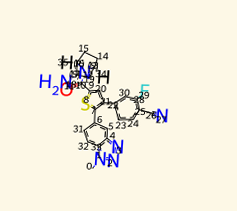 Cn1nnc2cc(-c3sc(C(=O)N4[C@H]5CC[C@@H]4[C@@H](N)C5)cc3-c3ccc(C#N)c(F)c3)ccc21